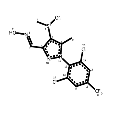 Cc1c([S+](C)[O-])c(/C=N/O)nn1-c1c(Cl)cc(C(F)(F)F)cc1Cl